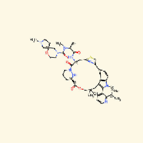 CCn1c(-c2cccnc2[C@H](C)OC)c2c3cc(ccc31)-c1csc(n1)C[C@H](NC(=O)C(C(C)C)N(C)C(=O)N1CCO[C@@]3(CCN(C)C3)C1)C(=O)N1CCC[C@H](N1)C(=O)OCC(C)(C)C2